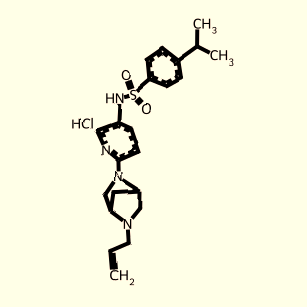 C=CCN1CC2CC1CN2c1ccc(NS(=O)(=O)c2ccc(C(C)C)cc2)cn1.Cl